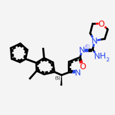 Cc1cc([C@H](C)c2cc(/N=C(\N)N3CCOCC3)on2)cc(C)c1-c1ccccc1